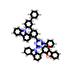 C1=Cc2c(c3cccc(-c4cccc5c4oc4ccccc45)c3n2-c2nc(-c3ccccc3)nc(-c3ccc(-c4cc(-c5ccccc5)ccc4-n4c5ccccc5c5ccccc54)cc3)n2)CC1